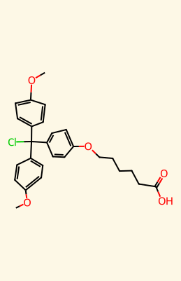 COc1ccc(C(Cl)(c2ccc(OC)cc2)c2ccc(OCCCCCC(=O)O)cc2)cc1